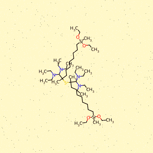 CCO[Si](C)(CCCCCCCCC(C)(SC(C)(CCCCCCCC[Si](C)(OCC)OCC)C(N(CC)CC)N(CC)CC)C(N(CC)CC)N(CC)CC)OCC